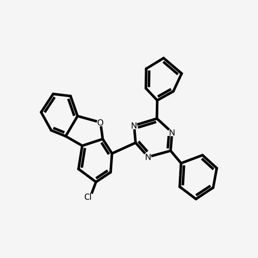 Clc1cc(-c2nc(-c3ccccc3)nc(-c3ccccc3)n2)c2oc3ccccc3c2c1